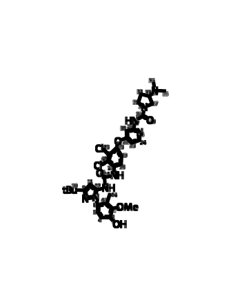 COc1c(O)ccc(-n2nc(C(C)(C)C)cc2NC(=O)Nc2ccc(Oc3ccnc(NC(=O)N4CCC(N(C)C)C4)c3)c(Cl)c2Cl)c1C